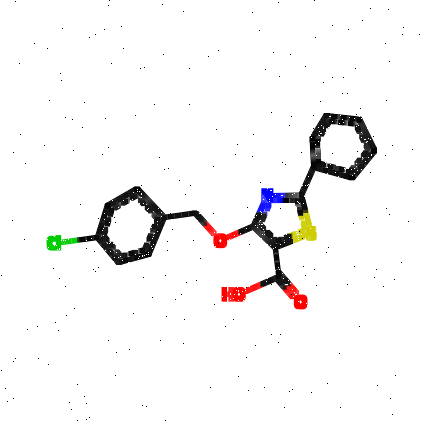 O=C(O)c1sc(-c2ccccc2)nc1OCc1ccc(Cl)cc1